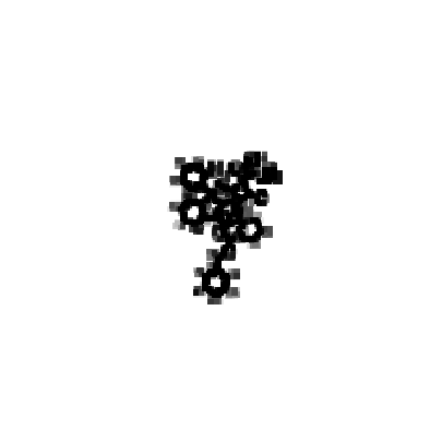 CC(C)(C)[Si](C)(C)N1C(=O)C(C(O)C2CCCN2C(=O)OCc2ccccc2)C1SC(c1ccccc1)(c1ccccc1)c1ccccc1